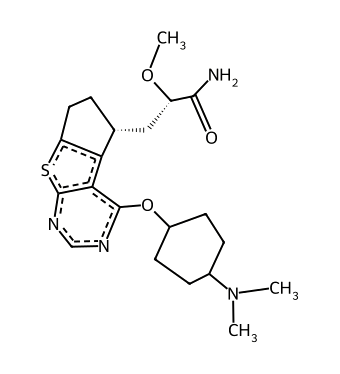 CO[C@@H](C[C@H]1CCc2sc3ncnc(OC4CCC(N(C)C)CC4)c3c21)C(N)=O